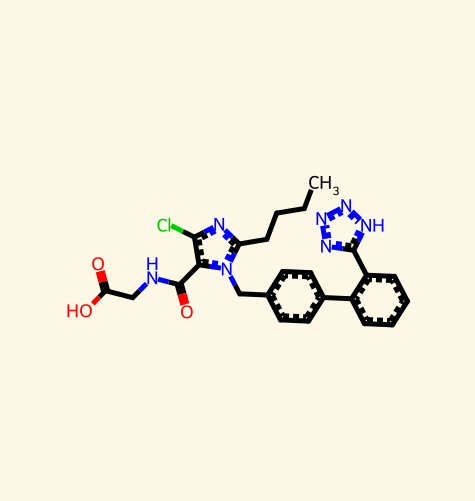 CCCCc1nc(Cl)c(C(=O)NCC(=O)O)n1Cc1ccc(-c2ccccc2-c2nnn[nH]2)cc1